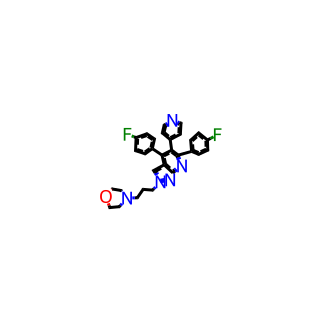 Fc1ccc(-c2nc3nn(CCCN4CCOCC4)cc3c(-c3ccc(F)cc3)c2-c2ccncc2)cc1